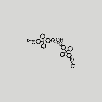 OC(COc1ccc(C(c2ccccc2)(c2ccc(OCC3CC3)cc2)C2CCCCC2)cc1)COc1ccc(C(c2ccccc2)(c2ccc(OCC3CO3)cc2)C2CCCCC2)cc1